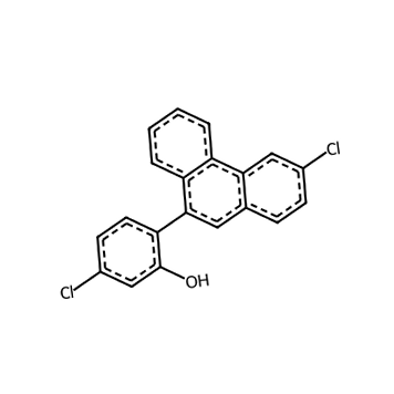 Oc1cc(Cl)ccc1-c1cc2ccc(Cl)cc2c2ccccc12